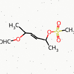 CC(/C=C/C(C)OS(C)(=O)=O)OC=O